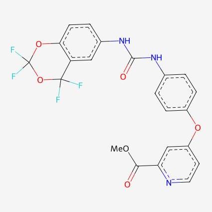 COC(=O)c1cc(Oc2ccc(NC(=O)Nc3ccc4c(c3)C(F)(F)OC(F)(F)O4)cc2)ccn1